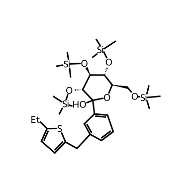 CCc1ccc(Cc2cccc(C3(O)O[C@H](CO[Si](C)(C)C)[C@@H](O[Si](C)(C)C)[C@H](O[Si](C)(C)C)[C@H]3O[Si](C)(C)C)c2)s1